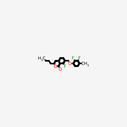 CCCCc1cc2ccc(COc3ccc(C)c(F)c3F)c(F)c2c(=O)o1